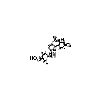 O=C1Cc2cnc(Nc3ccc(S(=O)(=O)O)cc3)nc2-c2ccc(Cl)cc2N1